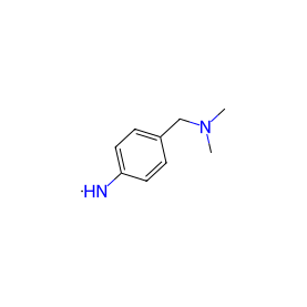 CN(C)Cc1ccc([NH])cc1